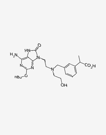 CCCCOc1nc(N)c2[nH]c(=O)n(CCN(CCO)Cc3cccc(C(C)C(=O)O)c3)c2n1